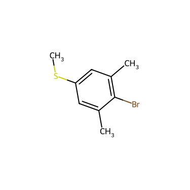 CSc1cc(C)c(Br)c(C)c1